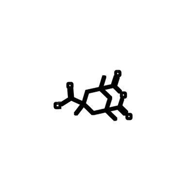 CC1(C(=O)Cl)CC2(C)CC(C)(C1)C(=O)OC2=O